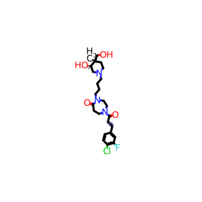 C[C@@]1(CO)CCN(CCCCN2CCN(C(=O)/C=C/c3ccc(Cl)c(F)c3)CCC2=O)C[C@@H]1O